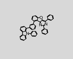 c1ccc(-c2nc(-c3ccccc3)c3oc4cccc(-c5cccc(-c6cccc7c8ccccc8n(-c8ccccc8)c67)c5)c4c3n2)cc1